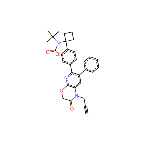 C#CCN1C(=O)COc2nc(-c3ccc(C4(N(C(=O)O)C(C)(C)C)CCC4)cc3)c(-c3ccccc3)cc21